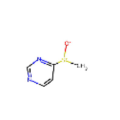 C[S+]([O-])c1ccn[c]n1